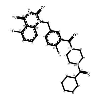 O=C(c1cc(Cn2c(=O)[nH]c(=O)c3c(F)cccc32)ccc1F)N1CCN(C(=O)C2CCCCC2)CC1